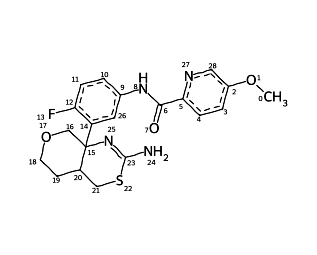 COc1ccc(C(=O)Nc2ccc(F)c(C34COCCC3CSC(N)=N4)c2)nc1